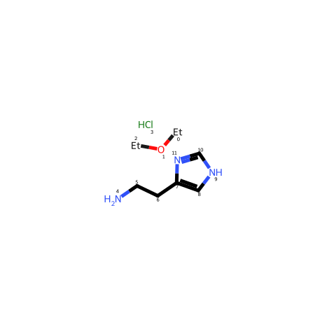 CCOCC.Cl.NCCc1c[nH]cn1